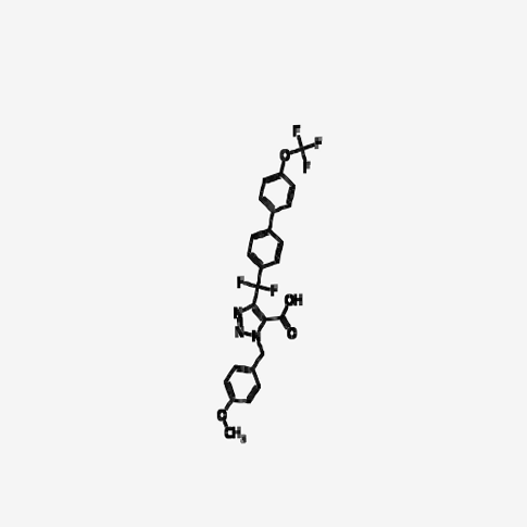 COc1ccc(Cn2nnc(C(F)(F)c3ccc(-c4ccc(OC(F)(F)F)cc4)cc3)c2C(=O)O)cc1